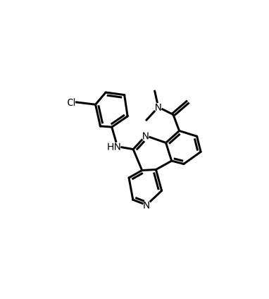 C=C(c1cccc2c1nc(Nc1cccc(Cl)c1)c1ccncc12)N(C)C